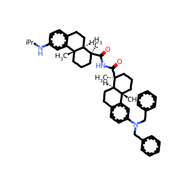 CC(C)Nc1ccc2c(c1)[C@@]1(C)CCC[C@](C)(C(=O)NC(=O)[C@@]3(C)CCC[C@]4(C)c5cc(N(Cc6ccccc6)Cc6ccccc6)ccc5CC[C@@H]34)[C@@H]1CC2